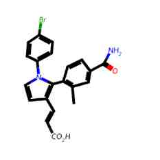 Cc1cc(C(N)=O)ccc1-c1c(C=CC(=O)O)ccn1-c1ccc(Br)cc1